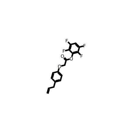 C=CCc1ccc(OCC(=O)Oc2c(F)c(F)cc(F)c2F)cc1